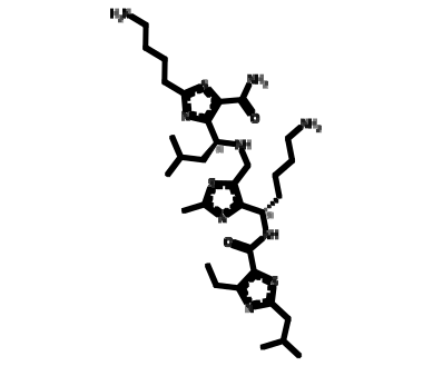 CCc1nc(CC(C)C)sc1C(=O)N[C@@H](CCCCN)c1nc(C)sc1CN[C@@H](CC(C)C)c1nc(CCCCN)sc1C(N)=O